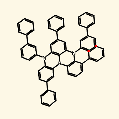 c1ccc(-c2cccc(N3c4ccc(-c5ccccc5)cc4B4c5cccc(-c6ccccc6)c5N(c5cccc(-c6ccccc6)c5)c5cc(-c6ccccc6)cc3c54)c2)cc1